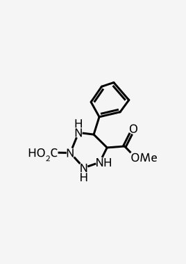 COC(=O)C1NNN(C(=O)O)NC1c1ccccc1